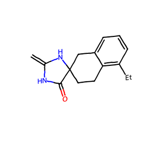 C=C1NC(=O)C2(CCc3c(CC)cccc3C2)N1